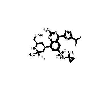 COC[C@H]1CN(c2cc(S(=O)(=O)NC3(C)CC3)cc3c(-c4nnc(C(F)F)s4)nc(C)nc23)CC(C)(C)N1